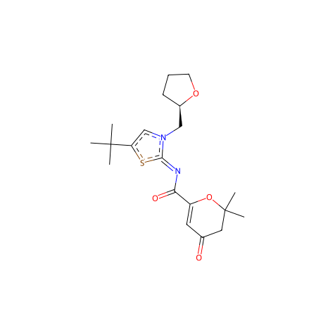 CC1(C)CC(=O)C=C(C(=O)/N=c2\sc(C(C)(C)C)cn2C[C@H]2CCCO2)O1